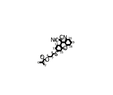 C=C(C)C(=O)OCCCSc1ccc2c(c1)Oc1ccccc1C2=C(C#N)C#N